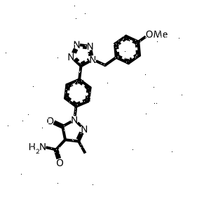 COc1ccc(Cn2nnnc2-c2ccc(N3N=C(C)C(C(N)=O)C3=O)cc2)cc1